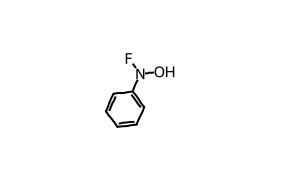 ON(F)c1ccccc1